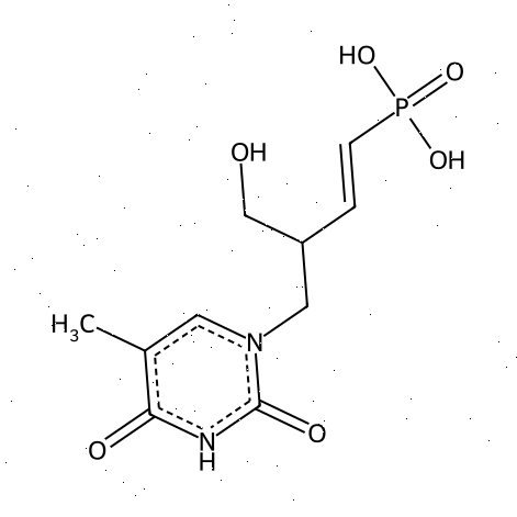 Cc1cn(CC(/C=C/P(=O)(O)O)CO)c(=O)[nH]c1=O